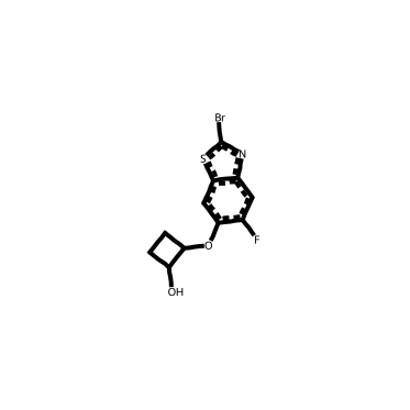 OC1CCC1Oc1cc2sc(Br)nc2cc1F